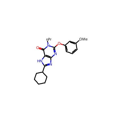 CCCn1c(Oc2cccc(OC)c2)nc2nc(C3CCCCC3)[nH]c2c1=O